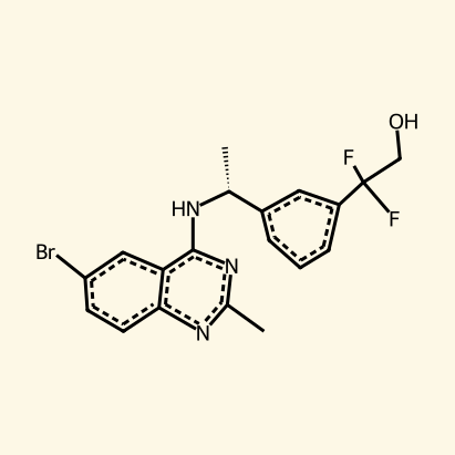 Cc1nc(N[C@H](C)c2cccc(C(F)(F)CO)c2)c2cc(Br)ccc2n1